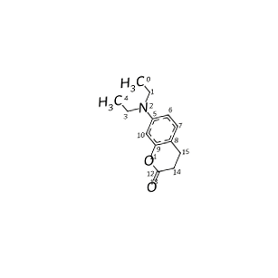 CCN(CC)c1ccc2c(c1)OC(=O)CC2